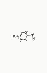 [N]=NC1C=CC(O)=CO1